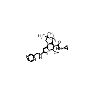 CC(C)(C)Cn1c(=O)c(C(=O)NC2CC2)c(O)n2nc(NCc3cnccn3)cc12